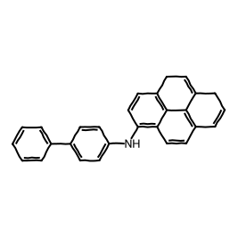 C1=Cc2ccc3c(Nc4ccc(-c5ccccc5)cc4)ccc4c3c2C(=CC4)C1